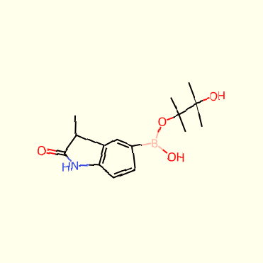 CC1C(=O)Nc2ccc(B(O)OC(C)(C)C(C)(C)O)cc21